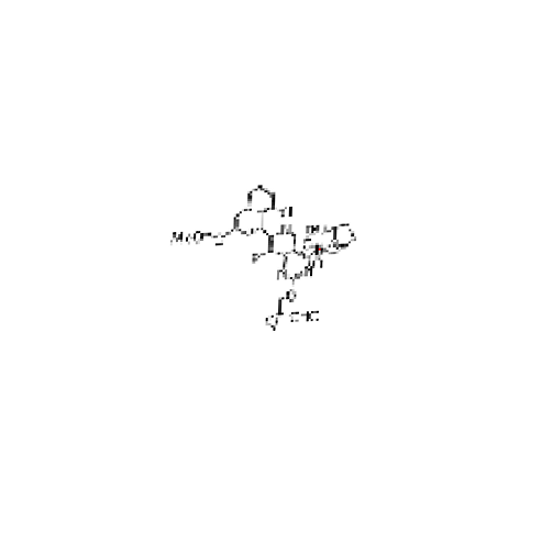 COCOc1cc(-c2ncc3c(N4CC5CCC(C4)N5C(=O)OC(C)(C)C)nc(OCC4(C=O)CC4)nc3c2F)c2c(Cl)cccc2c1